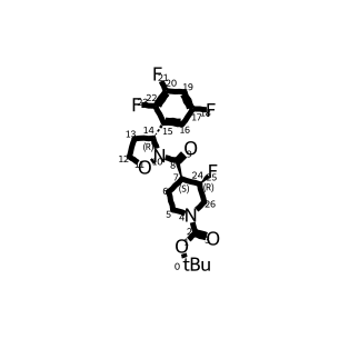 CC(C)(C)OC(=O)N1CC[C@@H](C(=O)N2OCC[C@@H]2c2cc(F)cc(F)c2F)[C@@H](F)C1